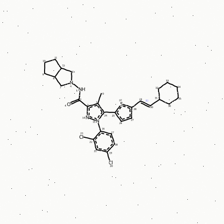 Cc1c(C(=O)NN2CC3CCCC3C2)nn(-c2ccc(Cl)cc2Cl)c1-c1ccc(/C=C/C2CCCCC2)s1